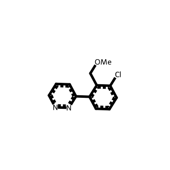 COCc1c(Cl)cccc1-c1cccnn1